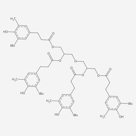 Cc1cc(CCC(=O)OCC(COCC(COC(=O)CCc2cc(C)c(O)c(C(C)(C)C)c2)OC(=O)CCc2cc(C)c(O)c(C(C)(C)C)c2)OC(=O)CCc2cc(C)c(O)c(C(C)(C)C)c2)cc(C(C)(C)C)c1O